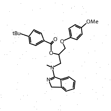 COc1ccc(OCC(CN(C)C2=NCc3ccccc32)OC(=O)c2ccc(C(C)(C)C)cc2)cc1